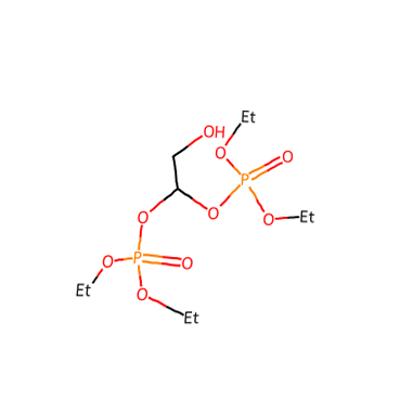 CCOP(=O)(OCC)OC(CO)OP(=O)(OCC)OCC